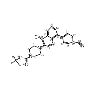 CC(C)(C)OC(=O)N1CCN(c2cnc3c(-c4ccc(C#N)cc4)cccc3c2Cl)CC1